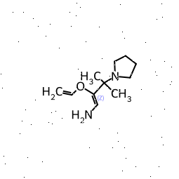 C=CO/C(=C\N)C(C)(C)N1CCCC1